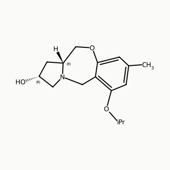 Cc1cc2c(c(OC(C)C)c1)CN1C[C@H](O)C[C@@H]1CO2